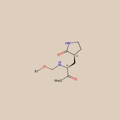 CCOCN[C@@H](C[C@@H]1CCNC1=O)C(=O)OC